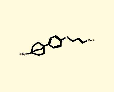 CCCCCC=CCOc1ccc(C23CCC(CCCCCCC)(CC2)CC3)cc1